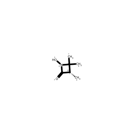 C[C@@H]1C(=O)N(O)C1(C)C